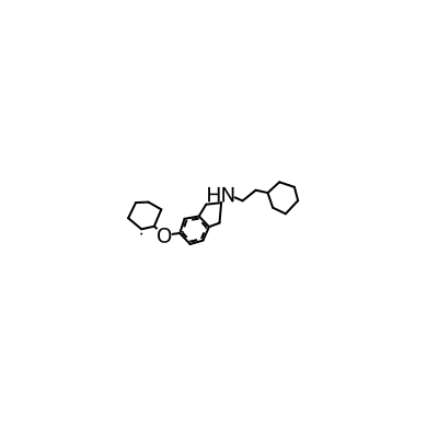 [CH]1CCCCC1Oc1ccc2c(c1)CC(NCCC1CCCCC1)C2